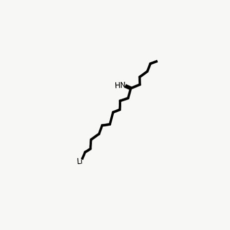 [Li][CH2]CCCCCCCCCC(=N)CCCCC